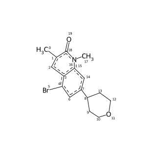 Cc1cc2c(Br)cc(C3CCOCC3)cc2n(C)c1=O